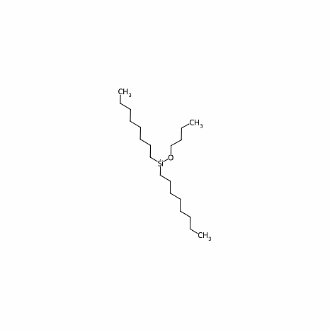 CCCCCCCC[Si](CCCCCCCC)OCCCC